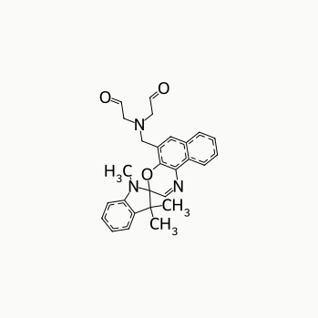 CN1c2ccccc2C(C)(C)C12C=Nc1c(c(CN(CC=O)CC=O)cc3ccccc13)O2